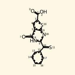 O=C(O)c1cc2c(=O)[nH]c(C(=S)c3ccccc3)nc2s1